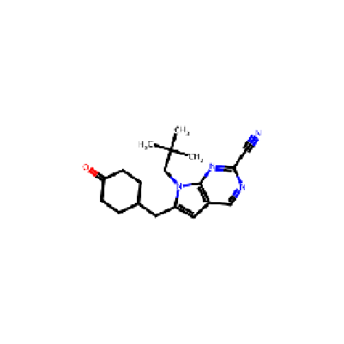 CC(C)(C)Cn1c(CC2CCC(=O)CC2)cc2cnc(C#N)nc21